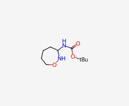 CC(C)(C)OC(=O)NC1CCCCON1